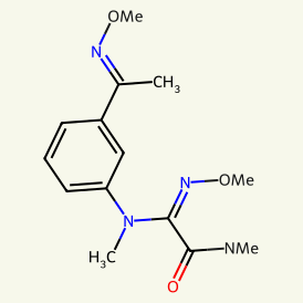 CNC(=O)C(=NOC)N(C)c1cccc(C(C)=NOC)c1